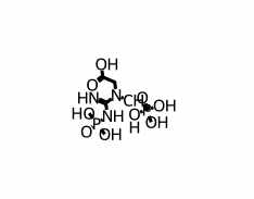 CN(CC(=O)O)C(=N)NP(=O)(O)O.O=P(O)(O)O